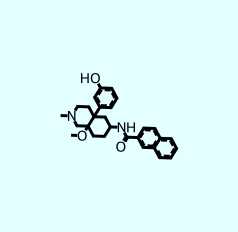 COC12CCC(NC(=O)c3ccc4ccccc4c3)CC1(c1cccc(O)c1)CCN(C)C2